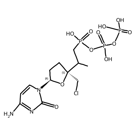 CC(CP(=O)(O)OP(=O)(O)OP(=O)(O)O)[C@]1(CCl)CC[C@H](n2ccc(N)nc2=O)O1